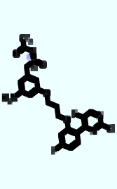 Nc1cc(C/[SH](=O)=N\C(=O)C(F)(F)F)cc(OCCCOc2cc(F)ccc2-c2nc(Cl)ncc2F)c1